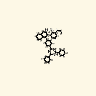 C/C=C\c1cccc(-c2ccc3ccccc3c2-c2ccc(C3=NC(c4ccccc4)NC(c4ccccc4)=N3)cc2)c1N